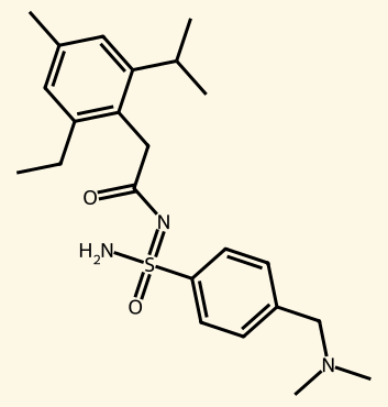 CCc1cc(C)cc(C(C)C)c1CC(=O)N=S(N)(=O)c1ccc(CN(C)C)cc1